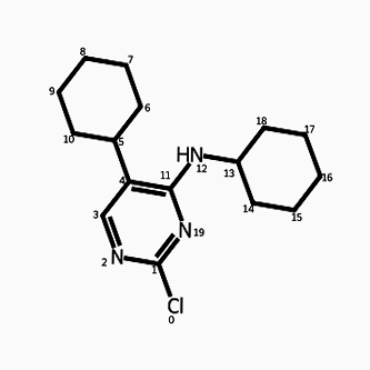 Clc1ncc(C2CCCCC2)c(NC2CCCCC2)n1